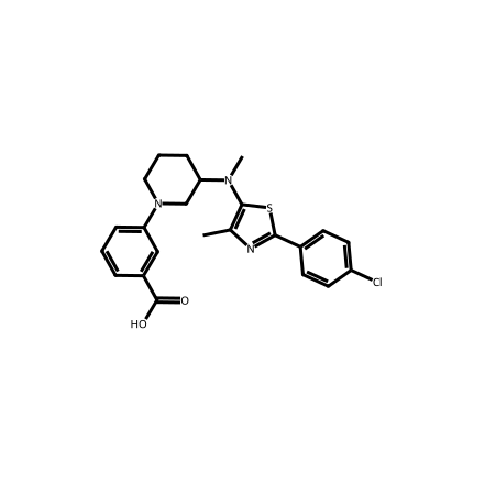 Cc1nc(-c2ccc(Cl)cc2)sc1N(C)C1CCCN(c2cccc(C(=O)O)c2)C1